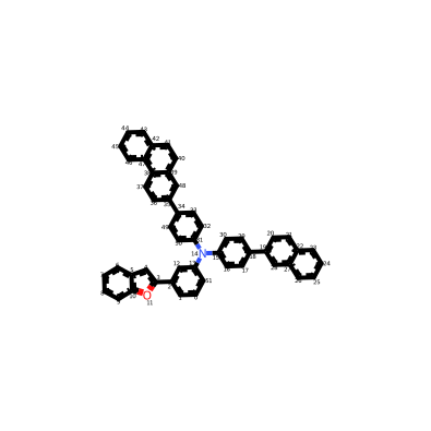 c1cc(-c2cc3ccccc3o2)cc(N(c2ccc(-c3ccc4ccccc4c3)cc2)c2ccc(-c3ccc4c(ccc5ccccc54)c3)cc2)c1